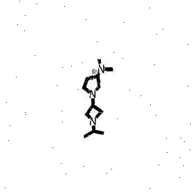 CC(C)N1CC(N2CC[C@@H](N(C)C)C2)C1